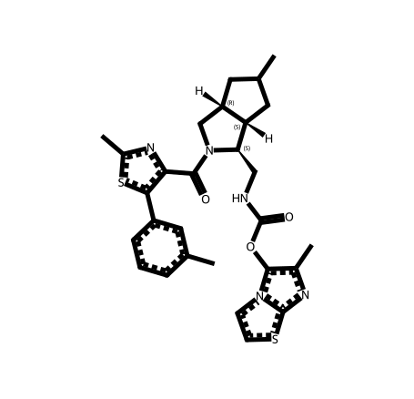 Cc1cccc(-c2sc(C)nc2C(=O)N2C[C@@H]3CC(C)C[C@@H]3[C@H]2CNC(=O)Oc2c(C)nc3sccn23)c1